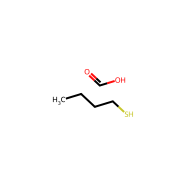 CCCCS.O=CO